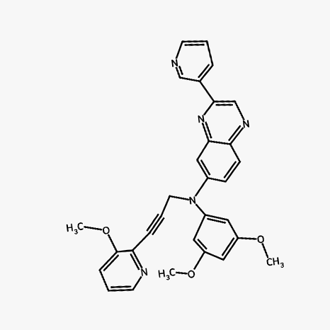 COc1cc(OC)cc(N(CC#Cc2ncccc2OC)c2ccc3ncc(-c4cccnc4)nc3c2)c1